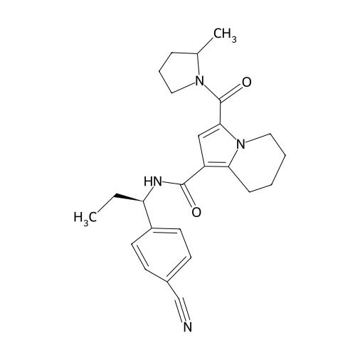 CC[C@@H](NC(=O)c1cc(C(=O)N2CCCC2C)n2c1CCCC2)c1ccc(C#N)cc1